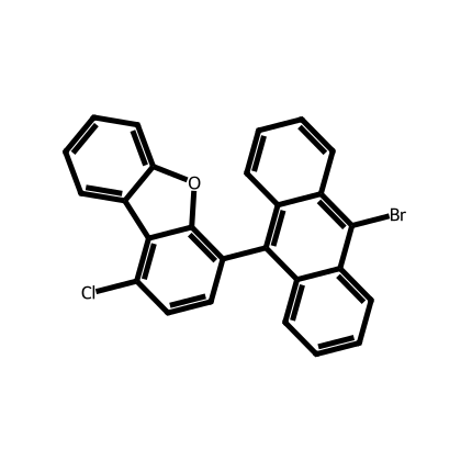 Clc1ccc(-c2c3ccccc3c(Br)c3ccccc23)c2oc3ccccc3c12